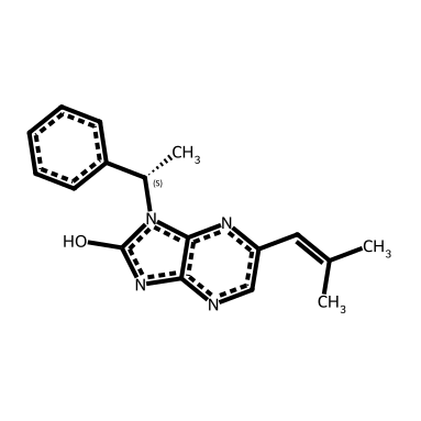 CC(C)=Cc1cnc2nc(O)n([C@@H](C)c3ccccc3)c2n1